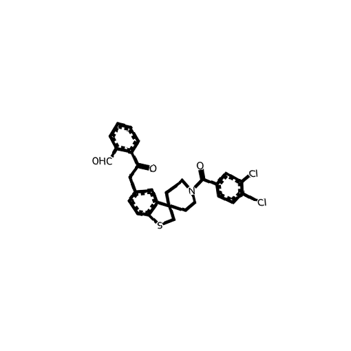 O=Cc1ccccc1C(=O)Cc1ccc2c(c1)C1(CCN(C(=O)c3ccc(Cl)c(Cl)c3)CC1)CS2